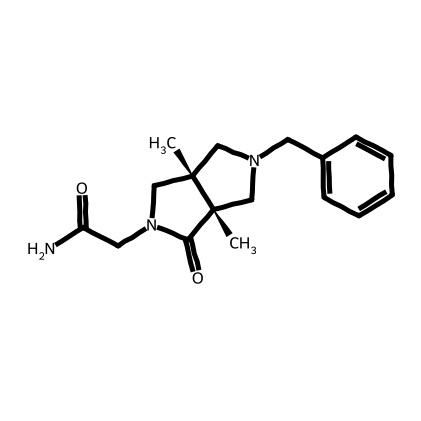 C[C@@]12CN(Cc3ccccc3)C[C@]1(C)C(=O)N(CC(N)=O)C2